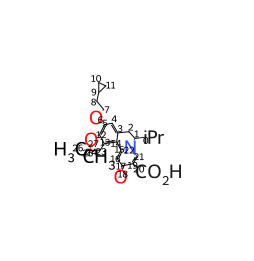 CC(C)C1Cc2cc(OCCC3CC3)c3c(c2-c2cc(=O)c(C(=O)O)cn21)CC(C)(C)O3